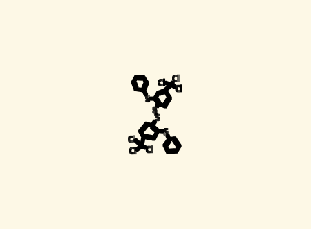 ClC(Cl)(Cl)c1ccc(SSc2ccc(C(Cl)(Cl)Cl)cc2Sc2ccccc2)c(Sc2ccccc2)c1